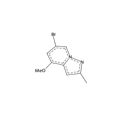 COc1cc(Br)cn2nc(C)cc12